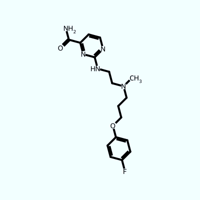 CN(CCCOc1ccc(F)cc1)CCNc1nccc(C(N)=O)n1